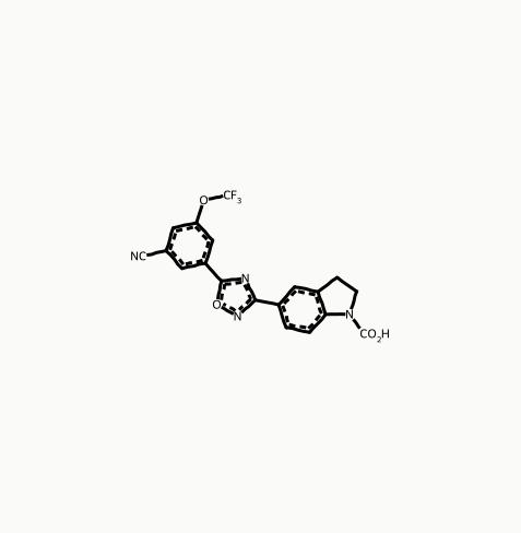 N#Cc1cc(OC(F)(F)F)cc(-c2nc(-c3ccc4c(c3)CCN4C(=O)O)no2)c1